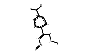 C=N/N=C(\CSC)c1ccc(C(C)C)cc1